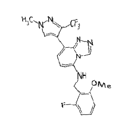 COc1cccc(F)c1CNc1ccc(-c2cn(C)nc2C(F)(F)F)c2nncn12